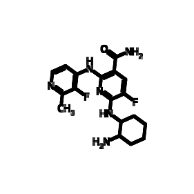 Cc1nccc(Nc2nc(NC3CCCCC3N)c(F)cc2C(N)=O)c1F